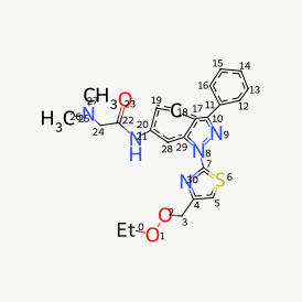 CCOOCc1csc(-n2nc(-c3ccccc3)c3ccc(NC(=O)CN(C)C)cc32)n1